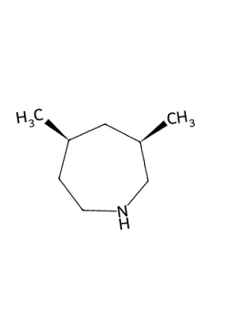 C[C@@H]1CCNC[C@H](C)C1